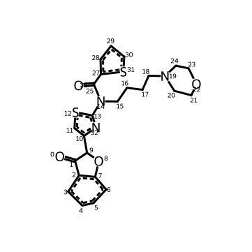 O=C1c2ccccc2OC1c1csc(N(CCCCN2CCOCC2)C(=O)c2cccs2)n1